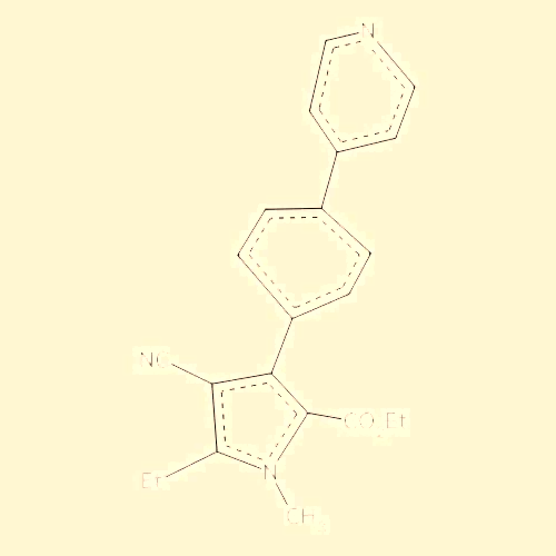 CCOC(=O)c1c(-c2ccc(-c3ccncc3)cc2)c(C#N)c(CC)n1C